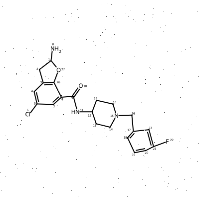 NC1Cc2cc(Cl)cc(C(=O)NC3CCN(Cc4cccc(F)c4)CC3)c2O1